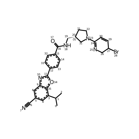 CC(C)c1cc(C#N)cc2nc(-c3ccc(C(=O)NC[C@@H]4CCN(C5=NCC(Br)C=C5)C4)cc3)oc12